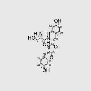 N[C@H](CO)C(=O)N[C@@H](Cc1ccc(O)cc1)C(=O)N[C@H]([C]=O)Cc1ccc(O)cc1